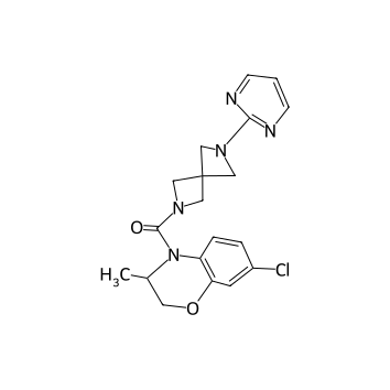 CC1COc2cc(Cl)ccc2N1C(=O)N1CC2(C1)CN(c1ncccn1)C2